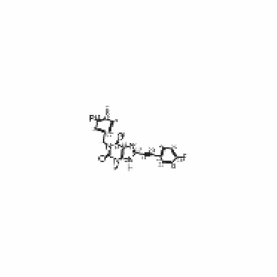 Cn1c(=O)n(Cc2ccc(F)c(F)c2)c(=O)c2nc(C#Cc3ccc(F)cc3)[nH]c21